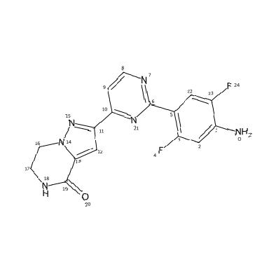 Nc1cc(F)c(-c2nccc(-c3cc4n(n3)CCNC4=O)n2)cc1F